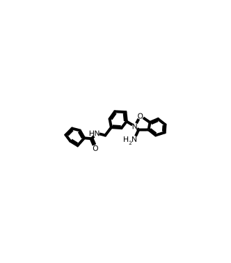 NC1c2ccccc2ON1c1cccc(CNC(=O)c2ccccc2)c1